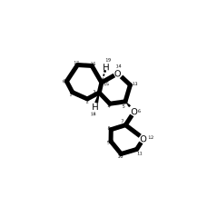 C1CC[C@H]2C[C@@H](OC3CCCCO3)CO[C@@H]2CC1